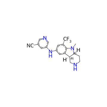 CN1c2c(cc(Nc3cncc(C#N)c3)cc2C(F)(F)F)[C@@H]2CNCC[C@@H]21